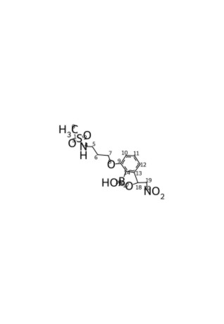 CS(=O)(=O)NCCCOc1cccc2c1B(O)OC2C[N+](=O)[O-]